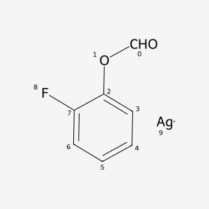 O=COc1ccccc1F.[Ag]